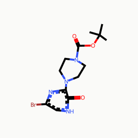 CC(C)(C)OC(=O)N1CCN(c2nc(Br)c[nH]c2=O)CC1